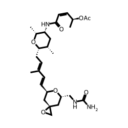 CC(=O)O[C@@H](C)/C=C\C(=O)N[C@@H]1C[C@H](C)[C@H](C/C=C(C)/C=C/[C@@H]2C[C@]3(CO3)C[C@@H](CNC(N)=O)O2)O[C@@H]1C